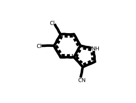 N#Cc1c[nH]c2cc(Cl)c(Cl)cc12